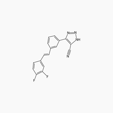 N#Cc1[nH]nnc1-c1cccc(/C=C/c2ccc(F)c(F)c2)c1